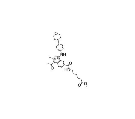 COC(=O)CCCCCNC(=O)c1ccc2c(c1)[C@H](Nc1ccc(N3CCOCC3)cc1)C[C@H](C)N2C(C)=O